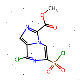 COC(=O)c1ncc2c(Cl)nc(S(=O)(=O)Cl)cn12